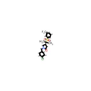 CC(C)([C@H]1CC(=O)N(Cc2ccc(Cl)cc2)C1)S(=O)(=O)c1cccc(C(F)(F)F)c1